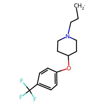 [CH2]CCN1CCC(Oc2ccc(C(F)(F)F)cc2)CC1